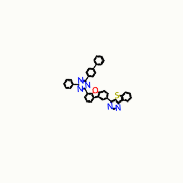 c1ccc(-c2ccc(-c3nc(-c4ccccc4)nc(-c4cccc5c4oc4ccc(-c6ncnc7c6sc6ccccc67)cc45)n3)cc2)cc1